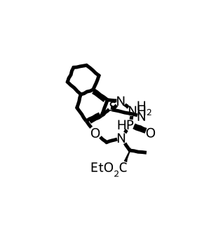 CCOC(=O)[C@H](C)N1COC2=C3SC(N)N(N[PH]1=O)C3=C1CCCCC1C2